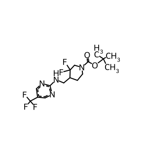 CC(C)(C)OC(=O)N1CCC(CNc2ncc(C(F)(F)F)cn2)C(F)(F)C1